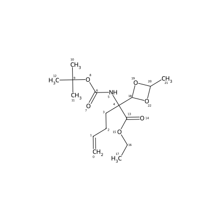 C=CCCC(NC(=O)OC(C)(C)C)(C(=O)OCC)C1OC(C)O1